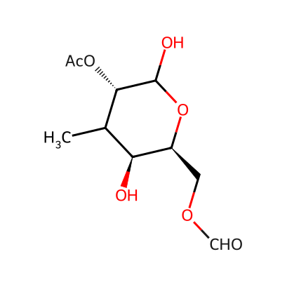 CC(=O)O[C@@H]1C(O)O[C@@H](COC=O)[C@@H](O)C1C